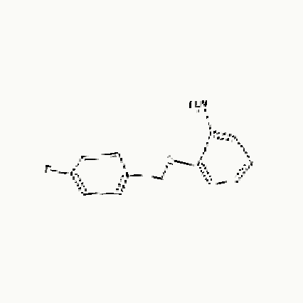 Nc1ccccc1OCc1ccc(F)cc1